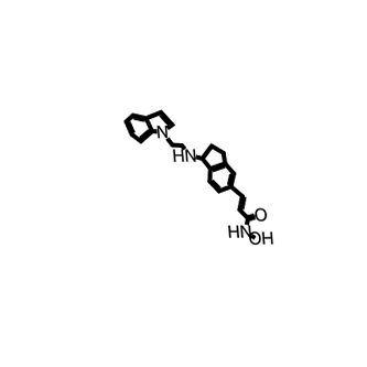 O=C(/C=C/c1ccc2c(c1)CCC2NCCn1ccc2ccccc21)NO